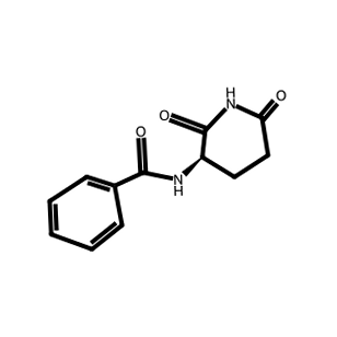 O=C1CC[C@@H](NC(=O)c2ccccc2)C(=O)N1